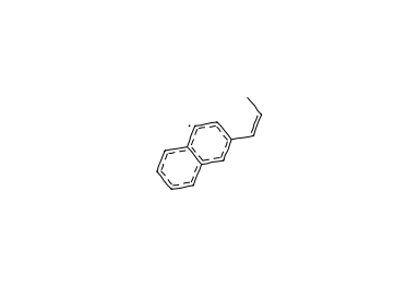 C/C=C\c1c[c]c2ccccc2c1